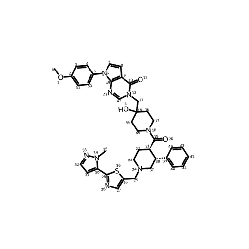 COc1ccc(-n2ccc3c(=O)n(CC4(O)CCN(C(=O)[C@@H]5CCN(Cc6cnc(-c7ccnn7C)s6)C[C@H]5c5ccccc5)CC4)cnc32)cc1